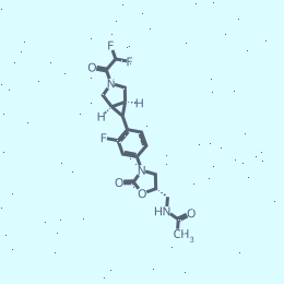 CC(=O)NC[C@H]1CN(c2ccc(C3[C@H]4CN(C(=O)C(F)F)C[C@@H]34)c(F)c2)C(=O)O1